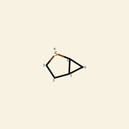 [CH]1C2CCSC12